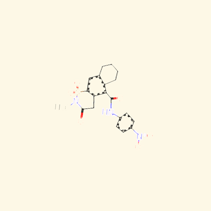 CN1C(=O)Cc2c(cc3c(c2C(=O)Nc2ccc([N+](=O)[O-])cc2)CCCC3)S1(=O)=O